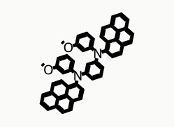 COc1cccc(N(c2cccc(N(c3cccc(OC)c3)c3ccc4ccc5cccc6ccc3c4c56)c2)c2ccc3ccc4cccc5ccc2c3c45)c1